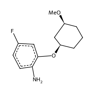 CO[C@H]1CCC[C@@H](Oc2cc(F)ccc2N)C1